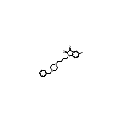 Cc1ccc2c(c1)C(=O)C(=O)N2CCCCN1CCN(Cc2ccccc2)CC1